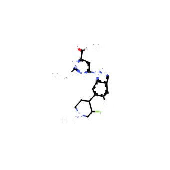 COC(=O)c1cc(-n2ncc3cc(C)c(C4CCN(C)CC4F)cc32)nc(OC)n1